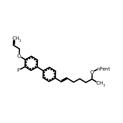 C=CCOc1ccc(-c2ccc(/C=C/CCCC(C)OCCCCC)cc2)cc1F